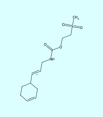 CS(=O)(=O)CCOC(=O)NC/C=C/C1CC=CCC1